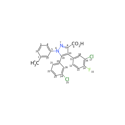 Cc1cccc(-n2nc(C(=O)O)c(-c3ccc(F)c(Cl)c3)c2-c2cccc(Cl)c2)c1